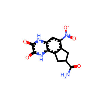 NC(=O)C1Cc2c([N+](=O)[O-])cc3[nH]c(=O)c(=O)[nH]c3c2C1